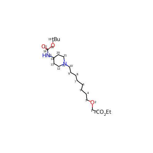 CCOC(=O)COCCCCCCCCN1CCC(NC(=O)OC(C)(C)C)CC1